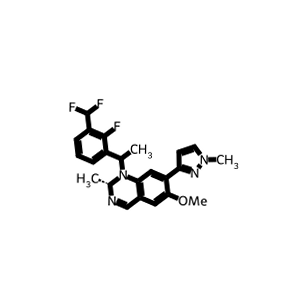 COc1cc2c(cc1-c1ccn(C)n1)N(C(C)c1cccc(C(F)F)c1F)[C@@H](C)N=C2